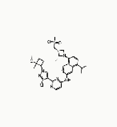 COC1(C)CCC1n1cc(-c2nccc(Nc3cc4c(C(C)C)ccc(N5C[C@H](CS(C)(=O)=O)[C@H]5C)c4cn3)n2)c(Cl)n1